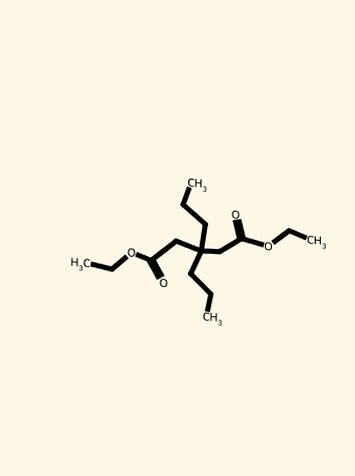 CCCC(CCC)(CC(=O)OCC)CC(=O)OCC